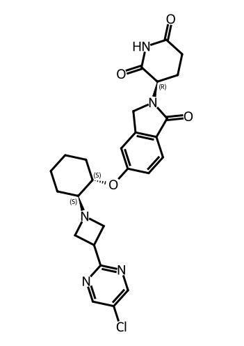 O=C1CC[C@@H](N2Cc3cc(O[C@H]4CCCC[C@@H]4N4CC(c5ncc(Cl)cn5)C4)ccc3C2=O)C(=O)N1